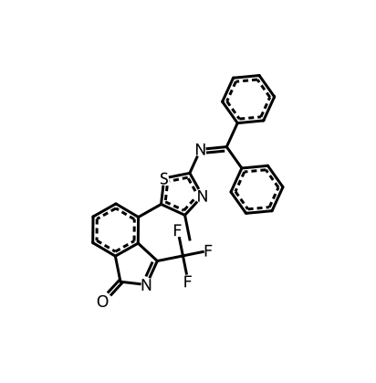 Cc1nc(N=C(c2ccccc2)c2ccccc2)sc1-c1cccc2c1C(C(F)(F)F)=NC2=O